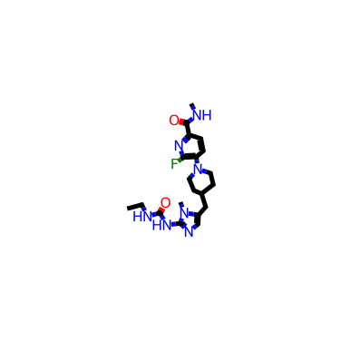 CCNC(=O)Nc1ncc(CC2CCN(c3ccc(C(=O)NC)nc3F)CC2)n1C